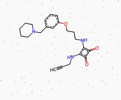 C#CCNc1c(NCCCOc2cccc(CN3CCCCC3)c2)c(=O)c1=O